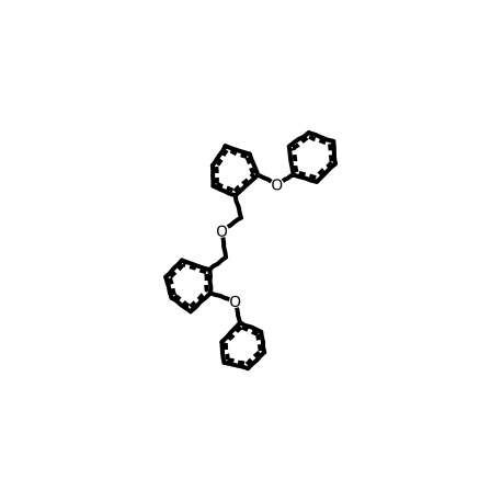 c1ccc(Oc2ccccc2COCc2ccccc2Oc2ccccc2)cc1